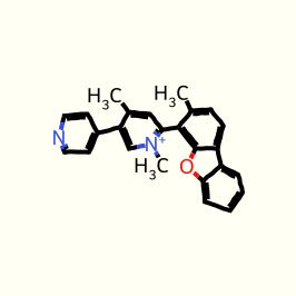 Cc1cc(-c2c(C)ccc3c2oc2ccccc23)[n+](C)cc1-c1ccncc1